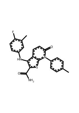 Cc1ccc(-n2c(=O)ccc3c(Nc4ccc(F)c(C)c4)c(C(N)=O)sc32)cc1